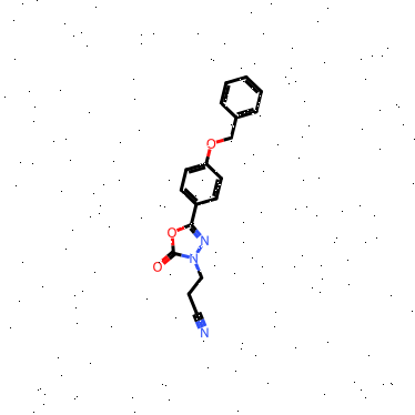 N#CCCn1nc(-c2ccc(OCc3ccccc3)cc2)oc1=O